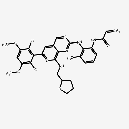 C=CC(=O)Nc1cccc(C)c1Nc1ncc2cc(-c3c(Cl)c(OC)cc(OC)c3Cl)nc(NCC3CCCO3)c2n1